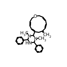 C=C1/C=C\C=C/COC/C=C\C=C(\C2N(C)C(c3ccccc3)NC(c3ccccc3)N2C)C1